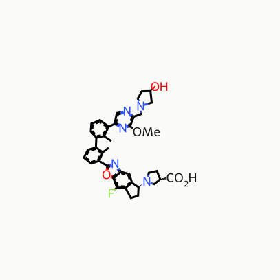 COc1nc(-c2cccc(-c3cccc(-c4nc5cc6c(c(F)c5o4)CC[C@H]6N4CC[C@@H](C(=O)O)C4)c3C)c2C)cnc1CN1CC[C@@H](O)C1